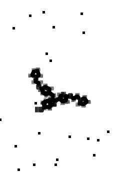 Oc1ccc2c(Cc3ccc(OCCN4CCCC4)cc3)c(-c3ccc(OCCN4CCCC4)nc3)sc2c1